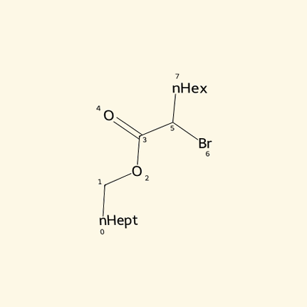 CCCCCCCCOC(=O)C(Br)CCCCCC